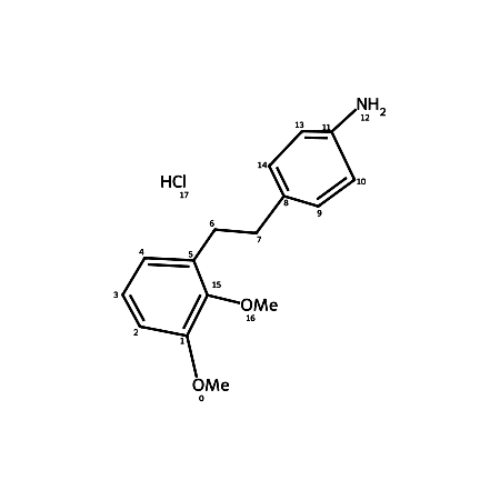 COc1cccc(CCc2ccc(N)cc2)c1OC.Cl